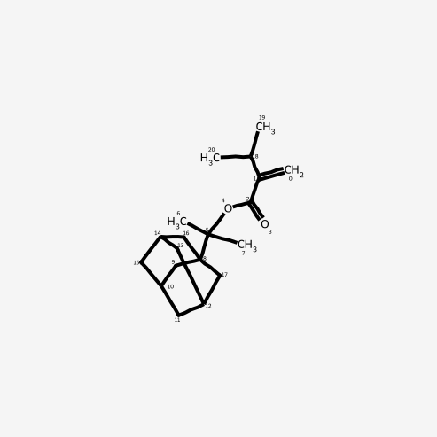 C=C(C(=O)OC(C)(C)C12CC3CC(CC(C3)C1)C2)C(C)C